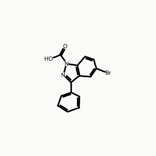 O=C(O)n1nc(-c2ccccc2)c2cc(Br)ccc21